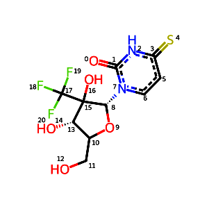 O=c1[nH]c(=S)ccn1[C@@H]1OC(CO)[C@H](O)C1(O)C(F)(F)F